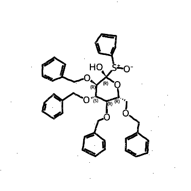 [O-][S+](c1ccccc1)[C@]1(O)O[C@H](COCc2ccccc2)[C@@H](OCc2ccccc2)[C@H](OCc2ccccc2)[C@H]1OCc1ccccc1